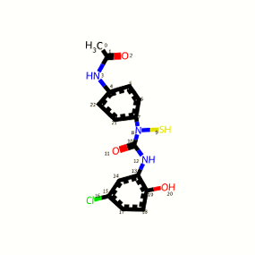 CC(=O)Nc1ccc(N(S)C(=O)Nc2cc(Cl)ccc2O)cc1